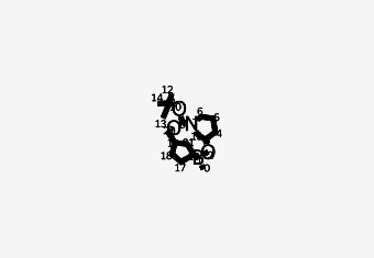 CB(OC1CCCN(C(=O)OC(C)(C)C)C1)C1CCC(C)C1